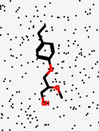 CCc1ccc(OCC(CO)OC)cc1